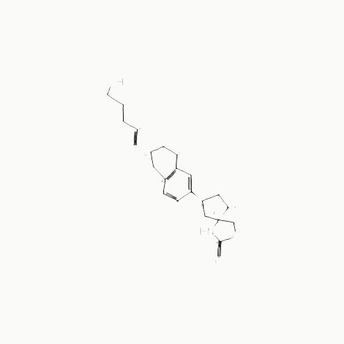 CCCCC=C[C@@H]1CCc2cc([C@H]3CC[C@]4(COC(=O)N4)C3)ccc2C1